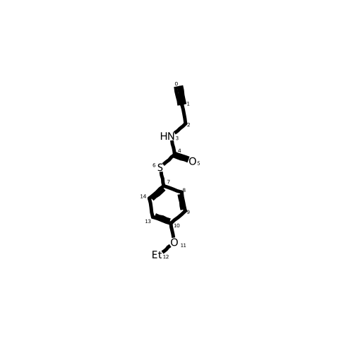 C#CCNC(=O)Sc1ccc(OCC)cc1